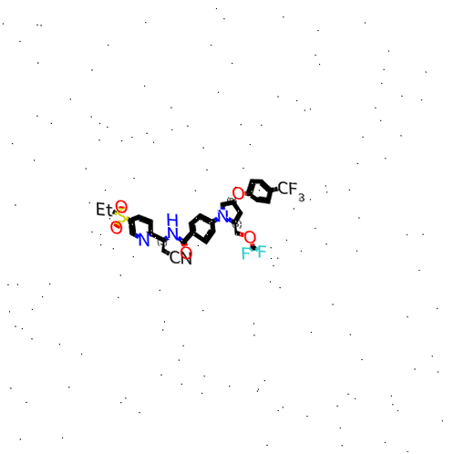 CCS(=O)(=O)c1ccc([C@H](CC#N)NC(=O)c2ccc(N3C[C@H](Oc4ccc(C(F)(F)F)cc4)C[C@H]3COC(F)F)cc2)nc1